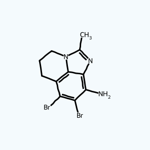 Cc1nc2c(N)c(Br)c(Br)c3c2n1CCC3